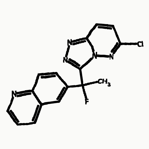 CC(F)(c1ccc2ncccc2c1)c1nnc2ccc(Cl)nn12